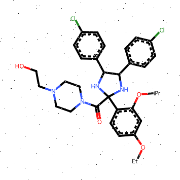 CCOc1ccc(C2(C(=O)N3CCN(CCO)CC3)NC(c3ccc(Cl)cc3)C(c3ccc(Cl)cc3)N2)c(OC(C)C)c1